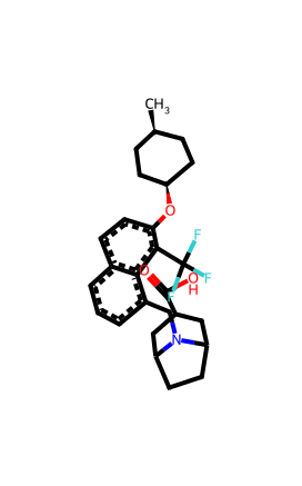 C[C@H]1CC[C@@H](Oc2ccc3cccc(CN4C5CCC4CC(C(=O)O)C5)c3c2C(F)(F)F)CC1